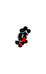 Cc1ccc(N(c2ccc3oc4cc(N(c5ccccc5-c5ccccc5)c5cccc6c5oc5c(-c7ccccc7)cccc56)c5ccccc5c4c3c2)c2cccc3c2oc2c(-c4ccccc4)cccc23)cc1